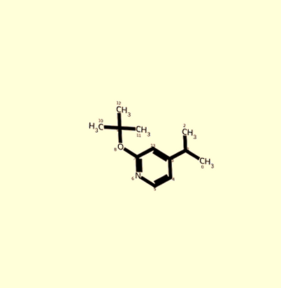 CC(C)c1ccnc(OC(C)(C)C)c1